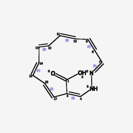 O=C(O)C1=C\N/N=C/C=C\C=C\C=C\C=C\C=C\1